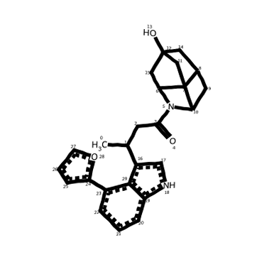 CC(CC(=O)N1C2CC3CC1CC(O)(C3)C2)c1c[nH]c2cccc(-c3ccco3)c12